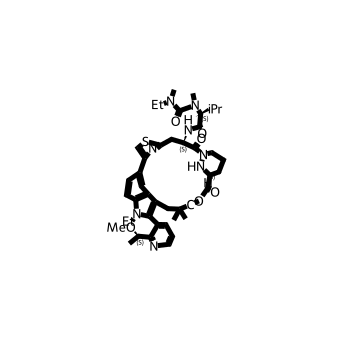 CCN(C)C(=O)N(C)[C@H](C(=O)N[C@H]1Cc2nc(cs2)-c2ccc3c(c2)c(c(-c2cccnc2[C@H](C)OC)n3CC)CC(C)(C)COC(=O)[C@@H]2CCCN(N2)C1=O)C(C)C